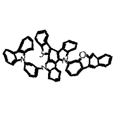 c1cc(-n2c3ccccc3c3ccccc32)cc(-n2c3ccccc3c3c2c2sc4ccccc4c2c2c4ccccc4n(-c4cccc5c4oc4cc6ccccc6cc45)c23)c1